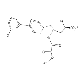 CC(C)OC(=O)C(=O)N[C@H](Cc1ccc(-c2cccc(Cl)c2)cc1)C[C@@H](O)C(=O)O